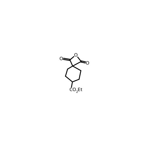 CCOC(=O)C1CCC2(CC1)C(=O)OC2=O